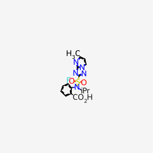 Cc1ccn2nc(S(=O)(=O)N(c3c(F)cccc3C(=O)O)C(C)C)nc2n1